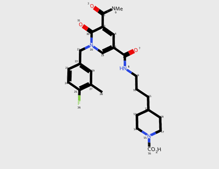 CNC(=O)c1cc(C(=O)NCCCC2CCN(C(=O)O)CC2)cn(Cc2ccc(F)c(C)c2)c1=O